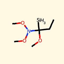 CCC([SiH3])(OC)N(OC)OC